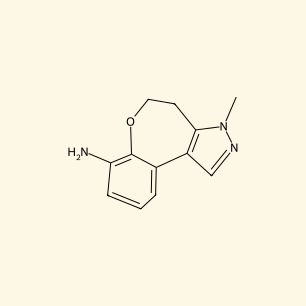 Cn1ncc2c1CCOc1c(N)cccc1-2